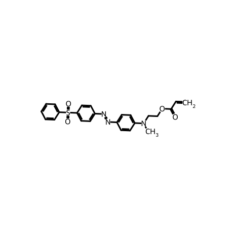 C=CC(=O)OCCN(C)c1ccc(N=Nc2ccc(S(=O)(=O)c3ccccc3)cc2)cc1